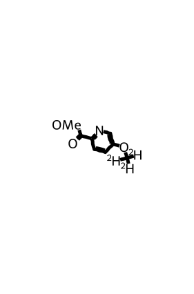 [2H]C([2H])([2H])Oc1ccc(C(=O)OC)nc1